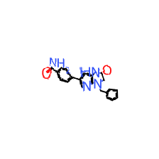 NC(=O)c1ccc(-c2cnc3c(c2)NC(=O)CN3Cc2ccccc2)cc1